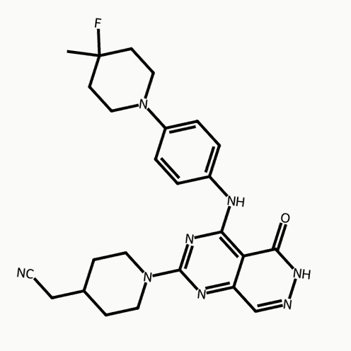 CC1(F)CCN(c2ccc(Nc3nc(N4CCC(CC#N)CC4)nc4cn[nH]c(=O)c34)cc2)CC1